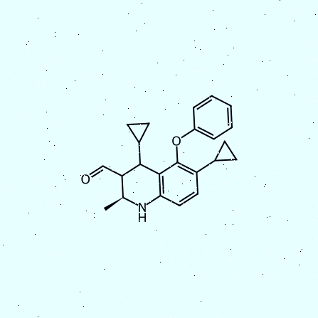 C[C@@H]1Nc2ccc(C3CC3)c(Oc3ccccc3)c2C(C2CC2)C1C=O